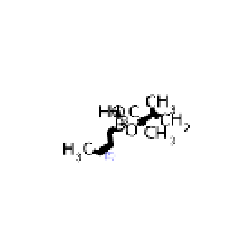 C=C(C)C(C)(C)OB(O)C/C=C\C